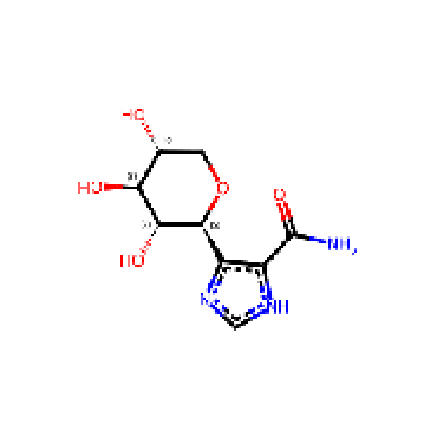 NC(=O)c1[nH]cnc1[C@@H]1OC[C@@H](O)[C@H](O)[C@H]1O